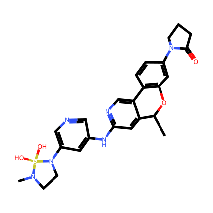 CC1Oc2cc(N3CCCC3=O)ccc2-c2cnc(Nc3cncc(N4CCN(C)S4(O)O)c3)cc21